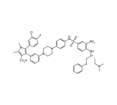 Cc1c(C(=O)O)c(-c2cccc(N3CCN(c4ccc(NS(=O)(=O)c5ccc(N[C@H](CCN(C)C)CSc6ccccc6)c([N+](=O)[O-])c5)cc4)CC3)c2)c(-c2ccc(F)c(Cl)c2)n1C